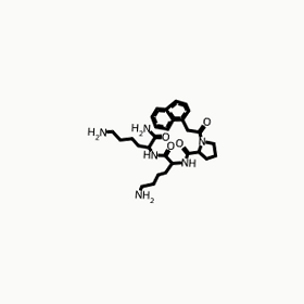 NCCCCC(NC(=O)C(CCCCN)NC(=O)C1CCCN1C(=O)Cc1cccc2ccccc12)C(N)=O